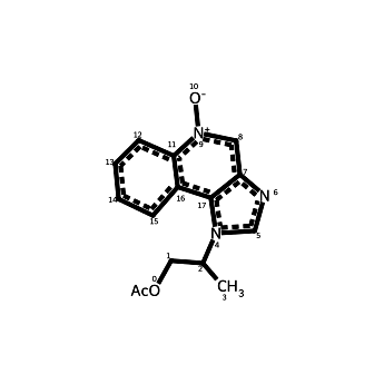 CC(=O)OCC(C)n1cnc2c[n+]([O-])c3ccccc3c21